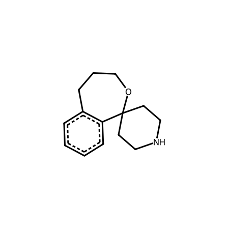 c1ccc2c(c1)CCCOC21CCNCC1